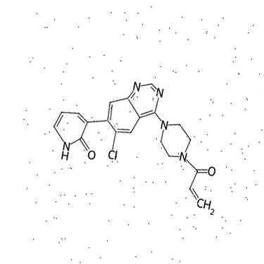 C=CC(=O)N1CCN(c2ncnc3cc(-c4ccc[nH]c4=O)c(Cl)cc23)CC1